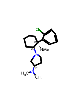 CN[C@@]1(c2ccccc2Cl)CCCC[C@@H]1N1CC[C@@H](N(C)C)C1